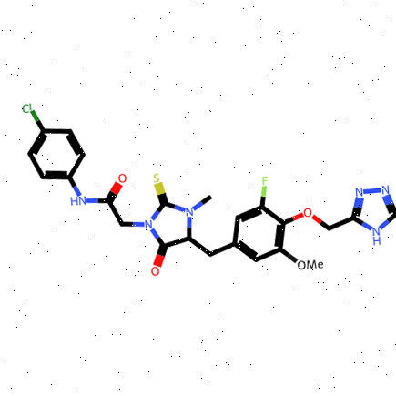 COc1cc(CC2C(=O)N(CC(=O)Nc3ccc(Cl)cc3)C(=S)N2C)cc(F)c1OCc1nnc[nH]1